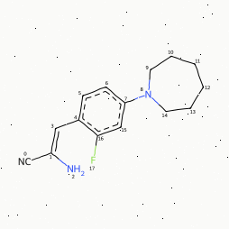 N#C/C(N)=C/c1ccc(N2CCCCCC2)cc1F